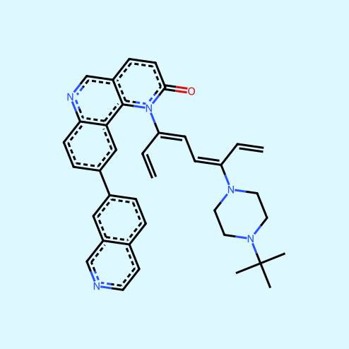 C=C/C(=C\C=C(/C=C)n1c(=O)ccc2cnc3ccc(-c4ccc5ccncc5c4)cc3c21)N1CCN(C(C)(C)C)CC1